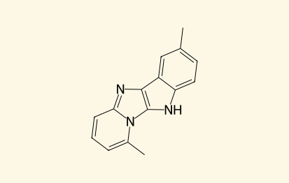 Cc1ccc2[nH]c3c(nc4cccc(C)n43)c2c1